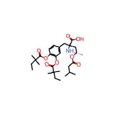 CCC(C)(C)C(=O)Oc1ccc(CC(N)(C[C@H](C)OC(=O)CC(C)C)C(=O)O)cc1OC(=O)C(C)(C)CC